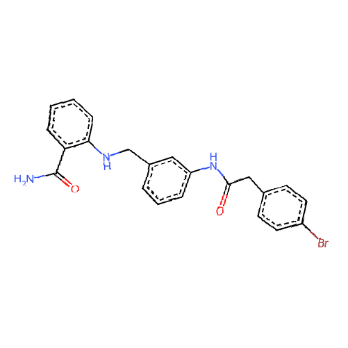 NC(=O)c1ccccc1NCc1cccc(NC(=O)Cc2ccc(Br)cc2)c1